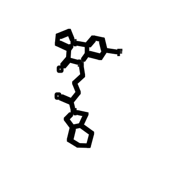 O=C(CCCn1c(=O)c2cccn2c2ccc(F)cc21)N1CC2=CCCCC2C1